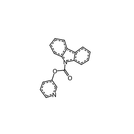 O=C(Oc1cccnc1)n1c2ccccc2c2ccccc21